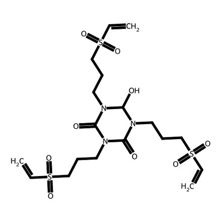 C=CS(=O)(=O)CCCN1C(=O)N(CCCS(=O)(=O)C=C)C(O)N(CCCS(=O)(=O)C=C)C1=O